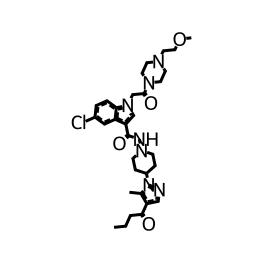 CCCC(=O)c1cnn(C2CCN(NC(=O)c3cn(CC(=O)N4CCN(CCOC)CC4)c4ccc(Cl)cc34)CC2)c1C